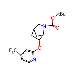 CC(C)(C)OC(=O)N1CC2CC(Oc3cc(C(F)(F)F)ccn3)C1C2